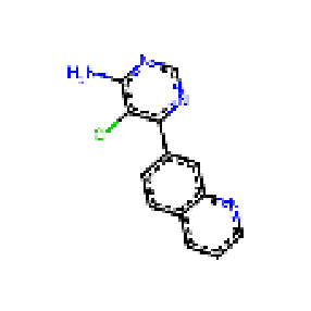 Nc1ncnc(-c2ccc3cccnc3c2)c1Cl